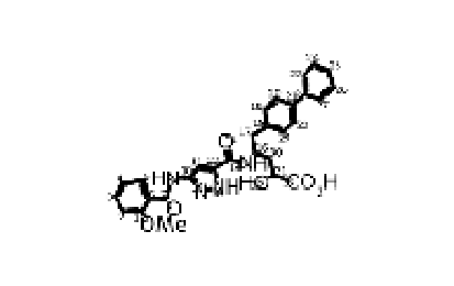 COc1ccccc1C(=O)Nc1cc(C(=O)NC(Cc2ccc(-c3ccccc3)cc2)CC(O)C(=O)O)[nH]n1